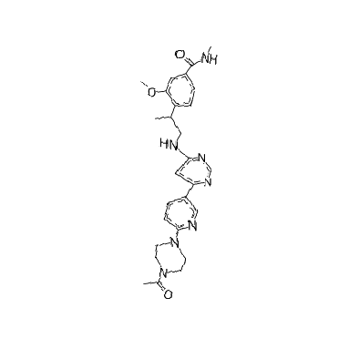 CNC(=O)c1ccc(C(C)CNc2cc(-c3ccc(N4CCN(C(C)=O)CC4)nc3)ncn2)c(OC)c1